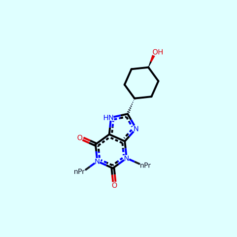 CCCn1c(=O)c2[nH]c([C@H]3CC[C@H](O)CC3)nc2n(CCC)c1=O